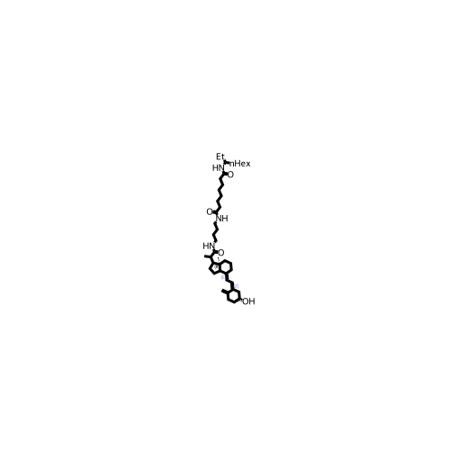 C=C1CC[C@H](O)C/C1=C/C=C1\CCC[C@@]2(C)C1CCC2C(C)C(=O)NCCCCNC(=O)CCCCCCC(=O)NC(CC)CCCCCC